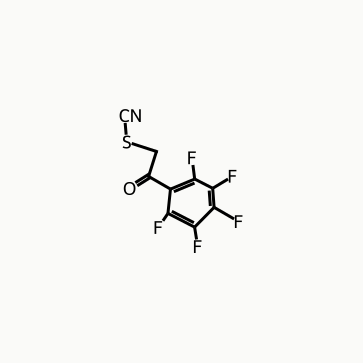 N#CSCC(=O)c1c(F)c(F)c(F)c(F)c1F